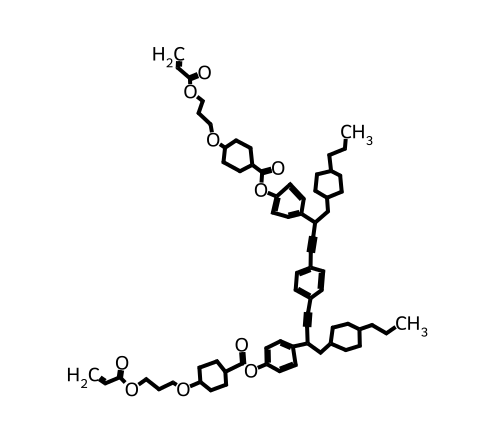 C=CC(=O)OCCCOC1CCC(C(=O)Oc2ccc(C(C#Cc3ccc(C#CC(CC4CCC(CCC)CC4)c4ccc(OC(=O)C5CCC(OCCCOC(=O)C=C)CC5)cc4)cc3)CC3CCC(CCC)CC3)cc2)CC1